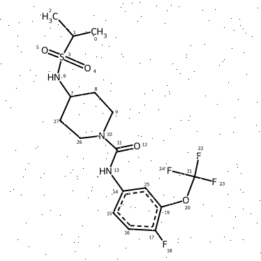 CC(C)S(=O)(=O)NC1CCN(C(=O)Nc2ccc(F)c(OC(F)(F)F)c2)CC1